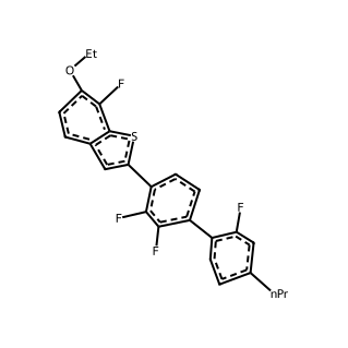 CCCc1ccc(-c2ccc(-c3cc4ccc(OCC)c(F)c4s3)c(F)c2F)c(F)c1